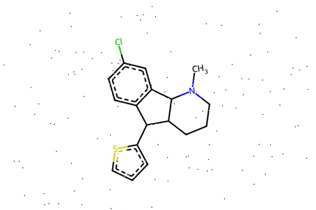 CN1CCCC2C(c3cccs3)c3ccc(Cl)cc3C21